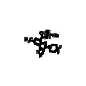 Cc1cc(C(C)N[S@+]([O-])C(C)(C)C)c2nc(N3CCC(F)(F)CC3)n3cnnc3c2c1